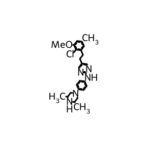 COc1cc(C)cc(CCc2cnc(Nc3ccc(N4CC(C)NC(C)C4)cc3)nc2)c1Cl